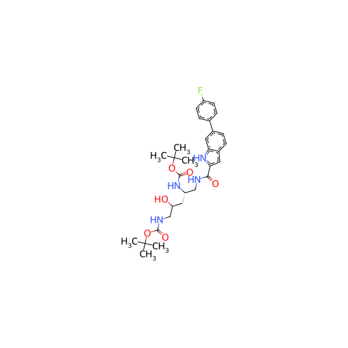 CC(C)(C)OC(=O)NCC(O)C[C@@H](CNC(=O)c1cc2ccc(-c3ccc(F)cc3)cc2[nH]1)NC(=O)OC(C)(C)C